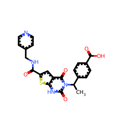 CC(c1ccc(C(=O)O)cc1)n1c(=O)[nH]c2sc(C(=O)NCc3ccncc3)cc2c1=O